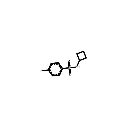 O=S(=O)(NC1CCC1)c1ccc(F)cc1